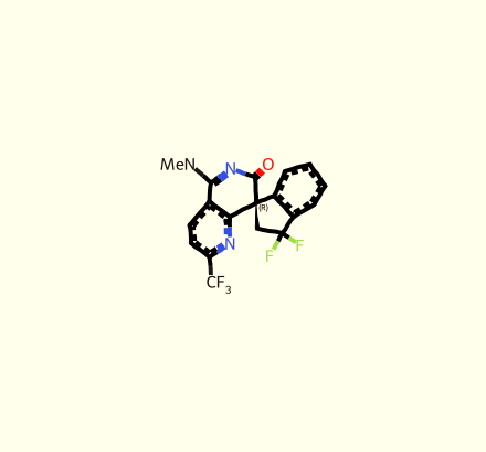 CNC1=NC(=O)[C@@]2(CC(F)(F)c3ccccc32)c2nc(C(F)(F)F)ccc21